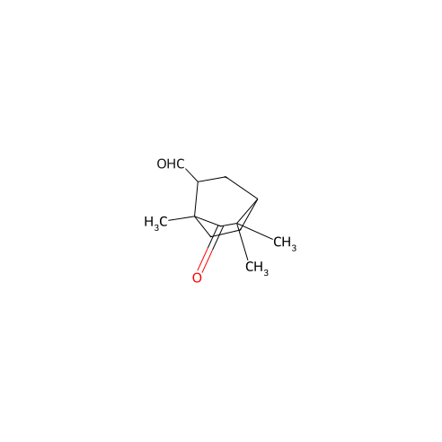 CC1(C)C(=O)C2(C)CCC1CC2C=O